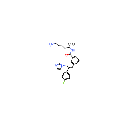 NCCCC[C@H](NC(=O)c1cccc(C=C(Cn2ccnc2)c2ccc(F)cc2)c1)C(=O)O